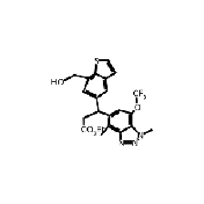 CCOC(=O)CC(c1cc(CO)c2sccc2c1)c1cc(OC(F)(F)F)c2c(nnn2C)c1C